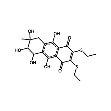 CCSC1=C(SCC)C(=O)c2c(O)c3c(c(O)c2C1=O)CC(C)(O)C(O)C3O